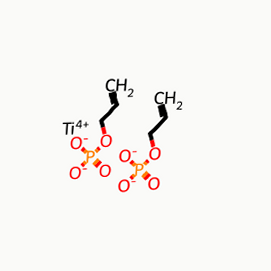 C=CCOP(=O)([O-])[O-].C=CCOP(=O)([O-])[O-].[Ti+4]